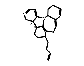 C=CCCC1CC[C@H]2C3=C1CC=C1C=CCCC1N3C1=CC=NC[C@@H]12